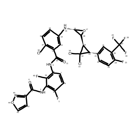 O=C(Nc1c(F)ccc(NC(=O)c2cc(N[C@@H]3OC3[C@H]3[C@H](c4ccc(F)c(C(F)(F)F)c4)C3(Cl)Cl)ccc2Cl)c1F)c1ccon1